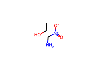 CCO.NC[N+](=O)[O-]